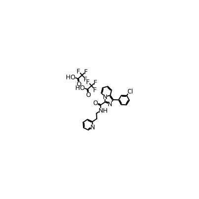 O=C(NCCc1ccccn1)c1nc(-c2cccc(Cl)c2)c2ccccn12.O=C(O)C(F)(F)F.O=C(O)C(F)(F)F